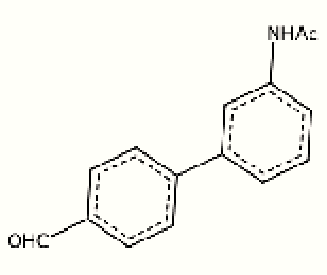 CC(=O)Nc1cccc(-c2ccc(C=O)cc2)c1